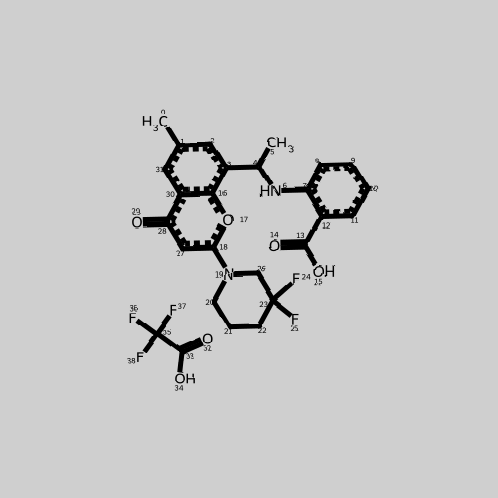 Cc1cc(C(C)Nc2ccccc2C(=O)O)c2oc(N3CCCC(F)(F)C3)cc(=O)c2c1.O=C(O)C(F)(F)F